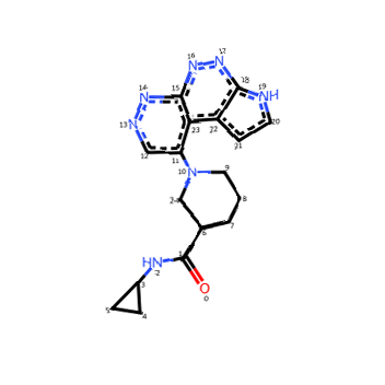 O=C(NC1CC1)C1CCCN(c2cnnc3nnc4[nH]ccc4c23)C1